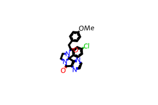 COc1ccc(CC(=O)N2CCN3C(=O)c4nccnc4C23c2ccc(Cl)cc2)cc1